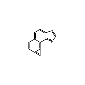 c1cc2ccc3ccc4cc4c3c2n1